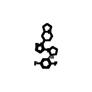 Fc1ccc(F)c([C@H]2CCCN2c2ccnn2C2CCN3CCCC3C2)c1